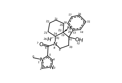 Cn1cncc1C(=O)N1CCC(O)(c2ccccc2)[C@H]2CCCC[C@@H]21